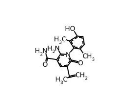 C=C(C)c1cc(C(N)=O)c(N)n(-c2c(C)ccc(O)c2C)c1=O